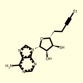 CCC#CCC[C@H]1O[C@@H](n2cnc3c(N)ncnc32)[C@H](O)[C@@H]1S